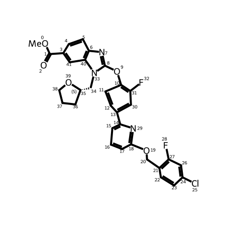 COC(=O)c1ccc2nc(Oc3ccc(-c4cccc(OCc5ccc(Cl)cc5F)n4)cc3F)n(C[C@@H]3CCCO3)c2c1